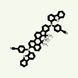 CC1(C)c2cc(N(c3ccc(C#N)cc3)c3cccc4c3oc3ccccc34)ccc2-c2ccc3c(c21)C(C)(C)c1cccc2c(N(c4ccc(C#N)cc4)c4cccc5c4oc4ccccc45)ccc-3c12